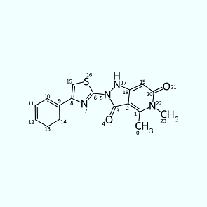 Cc1c2c(=O)n(-c3nc(C4=CC=CCC4)cs3)[nH]c2cc(=O)n1C